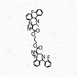 C[C@@H]1N=C(c2ccccc2F)c2ccccc2-n2cnc(C(=O)OCCCOC(=O)c3ncn4c3[C@H](C)N=C(c3ccccc3F)c3ccccc3-4)c21